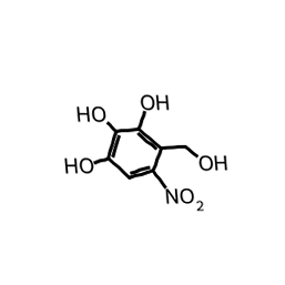 O=[N+]([O-])c1cc(O)c(O)c(O)c1CO